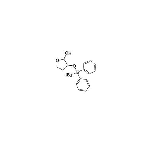 CC(C)(C)[Si](O[C@H]1CCOC1O)(c1ccccc1)c1ccccc1